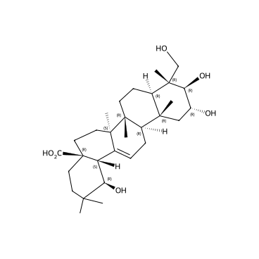 CC1(C)CC[C@]2(C(=O)O)CC[C@]3(C)C(=CC[C@@H]4[C@@]5(C)C[C@@H](O)[C@H](O)[C@@](C)(CO)[C@@H]5CC[C@]43C)[C@@H]2[C@H]1O